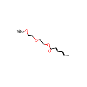 C/C=C/C=C/C(=O)OCCOCCOCCCC